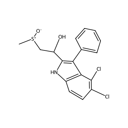 C[S+]([O-])CC(O)c1[nH]c2ccc(Cl)c(Cl)c2c1-c1ccccc1